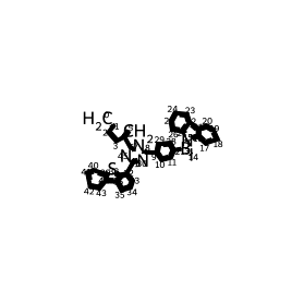 C=C/C=C\C(=C)c1nc(-c2ccc(B(I)n3c4ccccc4c4ccccc43)cc2)nc(-c2cccc3c2sc2ccccc23)n1